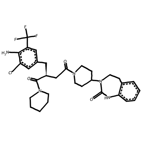 Nc1c(Cl)cc(C[C@@H](CC(=O)N2CCC(N3CCc4ccccc4NC3=O)CC2)C(=O)N2CCCCC2)cc1C(F)(F)F